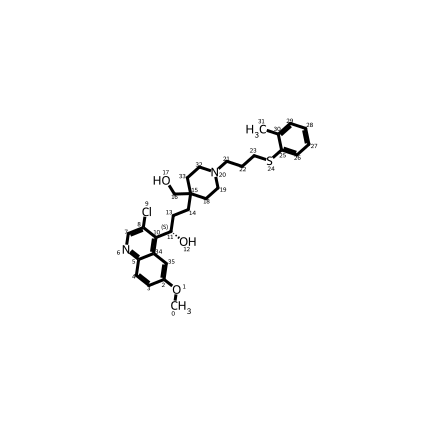 COc1ccc2ncc(Cl)c([C@@H](O)CCC3(CO)CCN(CCCSc4ccccc4C)CC3)c2c1